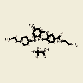 NCCNC(=O)c1ccc2c(c1)Sc1cc(C(F)(F)F)cc(NC3CCN(CCN)CC3)c1N2.O=C(O)C(F)(F)F